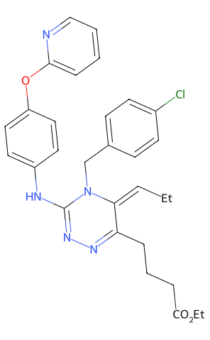 CCC=C1C(CCCC(=O)OCC)=NN=C(Nc2ccc(Oc3ccccn3)cc2)N1Cc1ccc(Cl)cc1